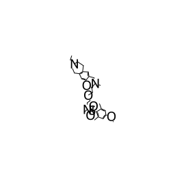 CCN1CCc2ccc(CN(C)C(=O)COCCN(C)S(=O)(=O)c3c(C)cc(OC)cc3C)cc2CC1